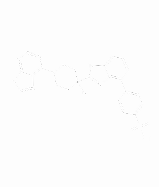 CS(=O)(=O)c1ccc(-c2cccc3[nH]c(C4(N)CCN(c5ncnc6[nH]cnc56)CC4)nc23)cc1